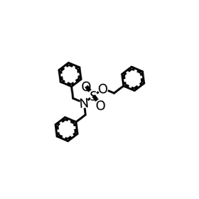 O=S(=O)(OCc1ccccc1)N(Cc1ccccc1)Cc1ccccc1